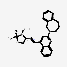 CC1(C)OC[C@H](/C=C/c2cc(N3CCCc4ccccc4C3)nc3ccccc23)N1C(=O)O